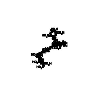 CC(C)(C)[SH](c1ccc(C(=O)NC(CNC(=O)CN2CCN(CC(=O)O)CCN(CC(=O)O)CCN(CC(=O)O)CC2)C(=O)NC(CCCCNC(=O)CCC(=O)NCCCC(NC(=O)CC[C@H](NC(=O)N[C@@H](CCC(=O)O)C(=O)O)C(=O)O)C(=O)O)C(=O)O)cc1)C(C)(C)C